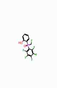 O=P(CF)(c1ccccc1O)c1c(F)c(F)c(F)c(F)c1F